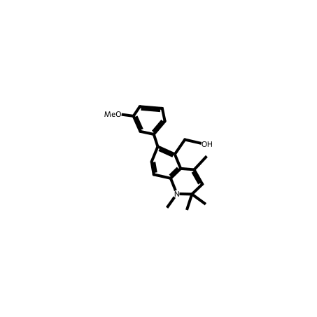 COc1cccc(-c2ccc3c(c2CO)C(C)=CC(C)(C)N3C)c1